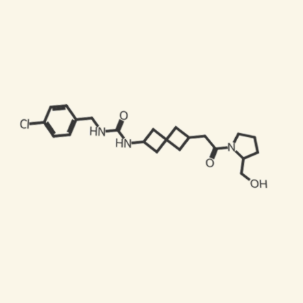 O=C(NCc1ccc(Cl)cc1)NC1CC2(CC(CC(=O)N3CCCC3CO)C2)C1